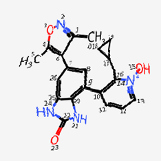 Cc1noc(C)c1-c1cc(-c2ccc[n+](O)c2C2CC2)c2[nH]c(=O)[nH]c2c1